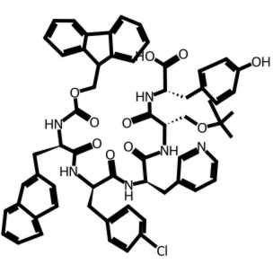 CC(C)(C)OC[C@H](NC(=O)[C@@H](Cc1cccnc1)NC(=O)[C@@H](Cc1ccc(Cl)cc1)NC(=O)[C@@H](Cc1ccc2ccccc2c1)NC(=O)OCC1c2ccccc2-c2ccccc21)C(=O)N[C@@H](Cc1ccc(O)cc1)C(=O)O